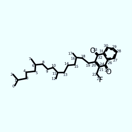 CC(C)CCCC(C)CCCC(C)CCCC(C)CCC1=C(CF)C(=O)c2ccccc2C1=O